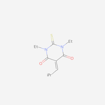 CCN1C(=O)C(=CC(C)C)C(=O)N(CC)C1=S